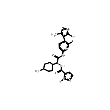 CCc1[nH]nc(C)c1-c1ccc(NC(=O)[C@@H](NC(=O)c2ccnn2CC)C2CCC(C)CC2)nc1F